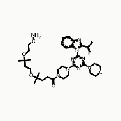 CC(C)(CCOC(C)(C)CCC(=O)N1CCN(c2nc(N3CCOCC3)nc(-n3c(C(F)F)nc4ccccc43)n2)CC1)OCCON